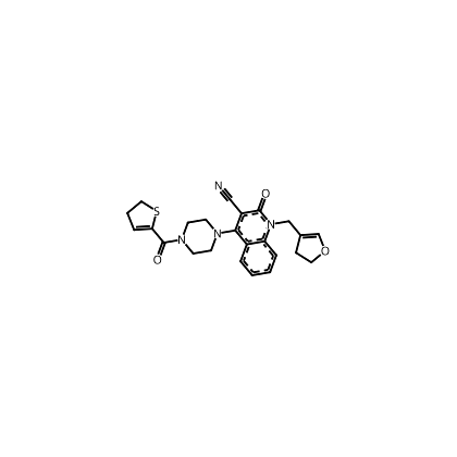 N#Cc1c(N2CCN(C(=O)C3=CCCS3)CC2)c2ccccc2n(CC2=COCC2)c1=O